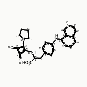 O=C(O)[C@H](Cc1ccc(Nc2nccc3ccncc23)cc1)Nc1c(N2CCCC2)c(=O)c1=O